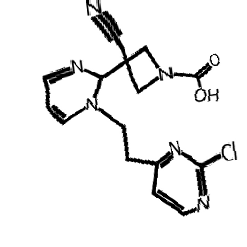 N#CC1(C2N=CC=CN2CCc2ccnc(Cl)n2)CN(C(=O)O)C1